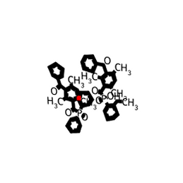 CCc1ccccc1P(=O)(O)C(=O)c1c(C)cc(C)c(C(=O)c2ccccc2)c1C.Cc1cc(C)c(C(=O)P(=O)(c2ccccc2)c2ccccc2)c(C)c1C(=O)c1ccccc1